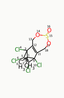 CC1(C)C2(Cl)C(Cl)=C(Cl)C1(Cl)C1=C2COS(=O)OC1